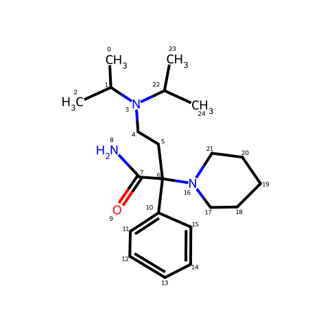 CC(C)N(CCC(C(N)=O)(c1ccccc1)N1CCCCC1)C(C)C